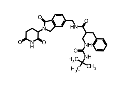 CC(C)(C)NC(=O)NCC(Cc1ccccc1)C(=O)NCc1ccc2c(c1)CN(C1CCC(=O)NC1=O)C2=O